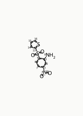 Nc1cc([N+](=O)[O-])ccc1S(=O)(=O)c1cccs1